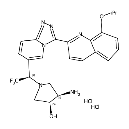 CC(C)Oc1cccc2ccc(-c3nnc4ccc([C@@H](N5C[C@@H](N)[C@@H](O)C5)C(F)(F)F)cn34)nc12.Cl.Cl